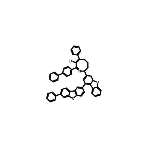 CCC1=C(\c2ccccc2)CCCC(C2=CC(c3ccc4sc5cc(-c6ccccc6)ccc5c4c3)=C3c4ccccc4OC3C2)/N=C\1c1ccc(-c2ccccc2)cc1